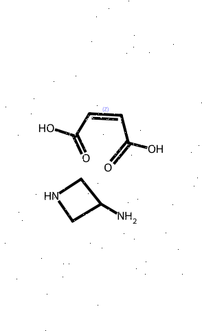 NC1CNC1.O=C(O)/C=C\C(=O)O